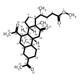 COC(=O)CC[C@@H](C)[C@H]1CC[C@H]2[C@@H]3C(C(C)=O)CC4CC(C(C)=O)CC[C@]4(C)[C@H]3CC(=O)[C@]12C